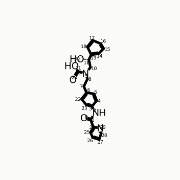 O=C(Nc1ccc(CCN(C[C@H](O)c2ccccc2)C(=O)O)cc1)c1ccccn1